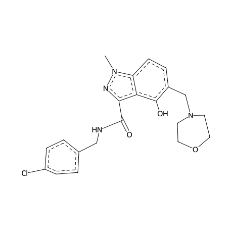 Cn1nc(C(=O)NCc2ccc(Cl)cc2)c2c(O)c(CN3CCOCC3)ccc21